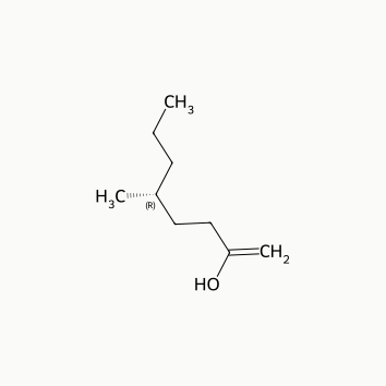 C=C(O)CC[C@H](C)CCC